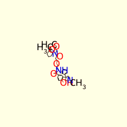 COC(CN(C(=O)CCOCCNC(=O)c1ccc(O)c(C2(c3ccccc3)CCN(C)CC2)c1)C1CCCCC1)OC